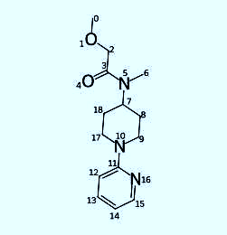 COCC(=O)N(C)C1CCN(c2ccccn2)CC1